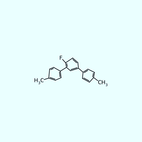 Cc1ccc(-c2ccc(F)c(-c3ccc(C)cc3)c2)cc1